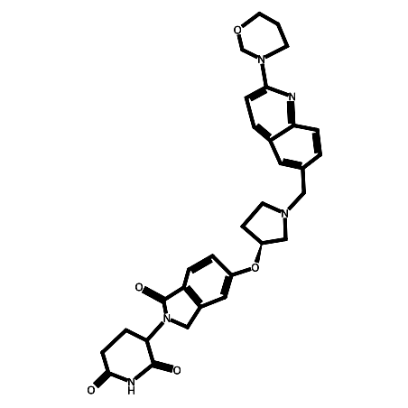 O=C1CCC(N2Cc3cc(O[C@H]4CCN(Cc5ccc6nc(N7CCCOC7)ccc6c5)C4)ccc3C2=O)C(=O)N1